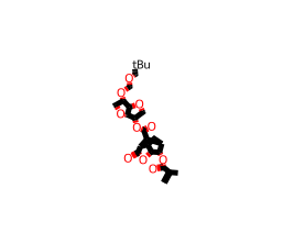 C=C(C)C(=O)OC1C2CC3C1OC(=O)C3C2C(=O)OC1COC2C(OCOCC(C)(C)C)COC12